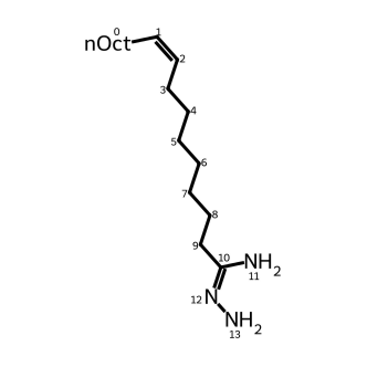 CCCCCCCC/C=C\CCCCCCC/C(N)=N/N